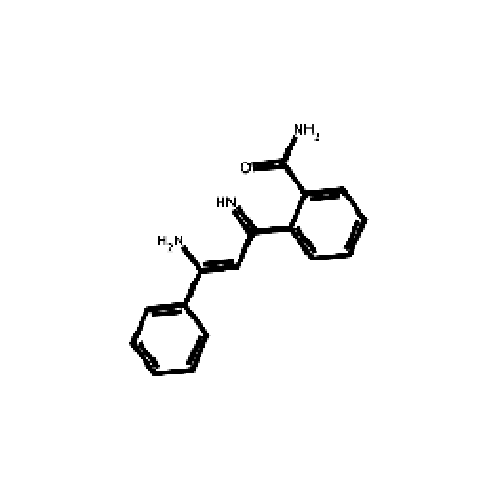 N=C(/C=C(\N)c1ccccc1)c1ccccc1C(N)=O